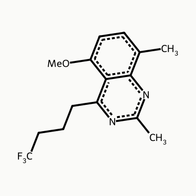 COc1ccc(C)c2nc(C)nc(CCCC(F)(F)F)c12